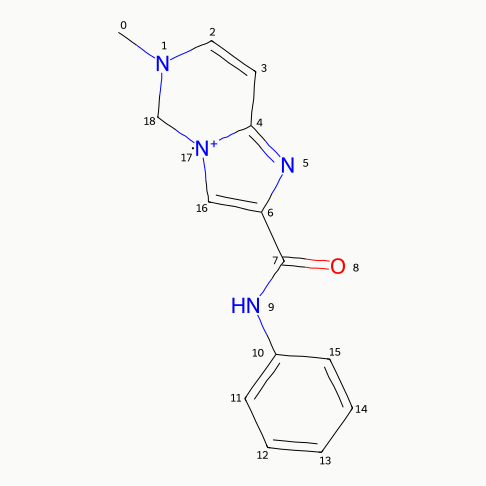 CN1C=CC2=NC(C(=O)Nc3ccccc3)=C[N+]2C1